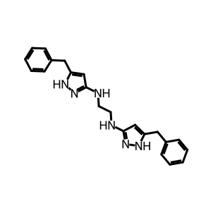 c1ccc(Cc2cc(NCCNc3cc(Cc4ccccc4)[nH]n3)n[nH]2)cc1